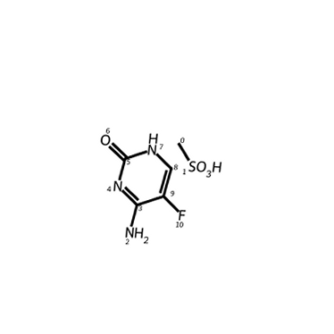 CS(=O)(=O)O.Nc1nc(=O)[nH]cc1F